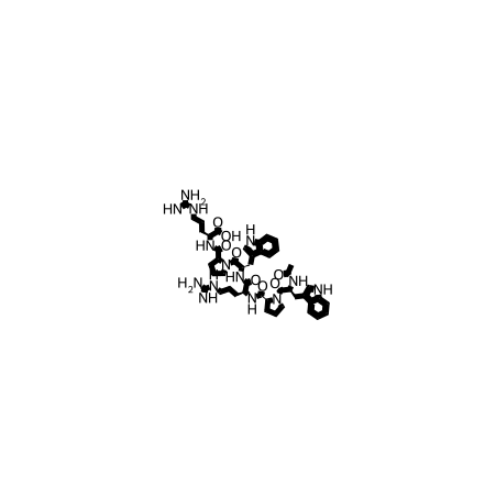 CC(=O)N[C@@H](Cc1c[nH]c2ccccc12)C(=O)N1CCC[C@@H]1C(=O)N[C@@H](CCCNC(=N)N)C(=O)N[C@@H](Cc1c[nH]c2ccccc12)C(=O)N1CCCC1C(=O)N[C@@H](CCCNC(=N)N)C(=O)O